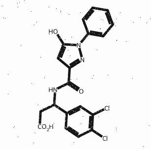 O=C(O)CC(NC(=O)c1cc(O)n(-c2ccccc2)n1)c1ccc(Cl)c(Cl)c1